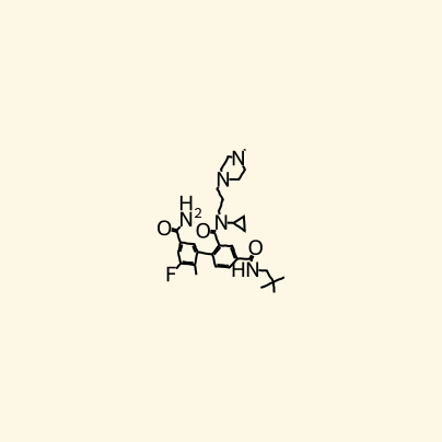 Cc1c(F)cc(C(N)=O)cc1-c1ccc(C(=O)NCC(C)(C)C)cc1C(=O)N(CCCN1CCN(C)CC1)C1CC1